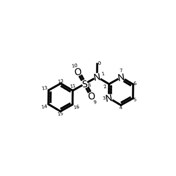 CN(c1ncccn1)S(=O)(=O)c1ccccc1